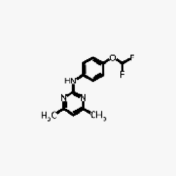 Cc1cc(C)nc(Nc2ccc(OC(F)F)cc2)n1